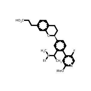 CCN(C)C(C)c1cc([C@@H]2CCc3ccc(CCC(=O)O)cc3O2)ccc1-c1cc(OC)ncc1F